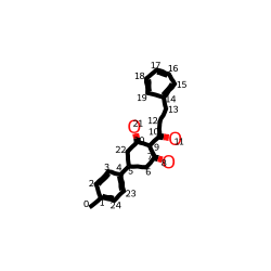 Cc1ccc(C2CC(=O)C(C(=O)CCc3ccccc3)C(=O)C2)cc1